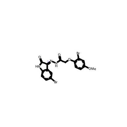 COc1ccc(OCC(=O)N/N=C2/C(=O)Nc3ccc(Br)cc32)c(Br)c1